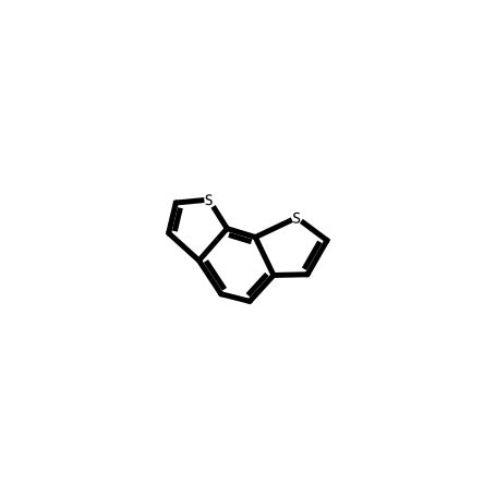 c1cc2ccc3ccsc3c2s1